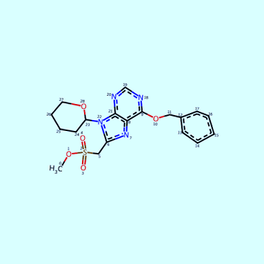 COS(=O)(=O)Cc1nc2c(OCc3ccccc3)ncnc2n1C1CCCCO1